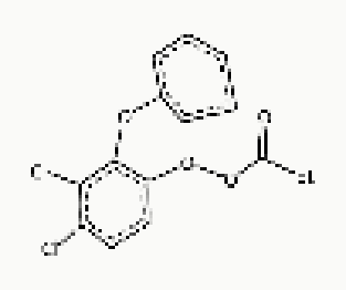 CCC(=O)OOc1ccc(Cl)c(Cl)c1Oc1ccccc1